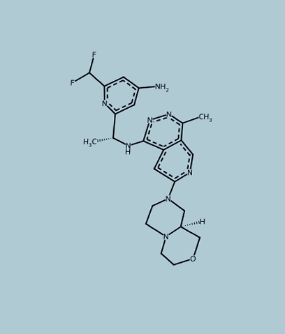 Cc1nnc(N[C@H](C)c2cc(N)cc(C(F)F)n2)c2cc(N3CCN4CCOC[C@@H]4C3)ncc12